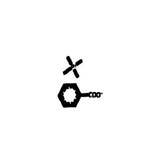 C[P+](C)(C)C.O=C([O-])c1ccccc1